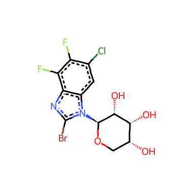 O[C@@H]1[C@H](O)[C@H](O)CO[C@H]1n1c(Br)nc2c(F)c(F)c(Cl)cc21